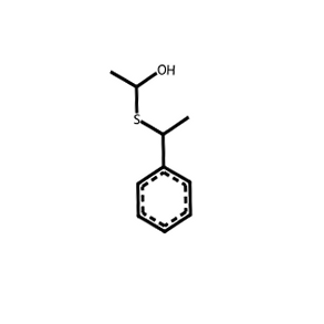 CC(O)SC(C)c1ccccc1